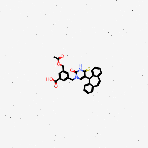 CC(=O)OCc1cc(Cn2cc(C3c4ccccc4C=Cc4ccccc43)c(=S)[nH]c2=O)cc(C(=O)O)c1